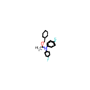 C=C(OCC1CCCCC1)N(c1ccc(F)cc1)c1ccc(F)cc1